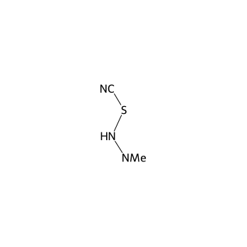 CNNSC#N